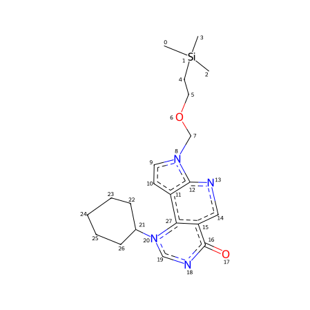 C[Si](C)(C)CCOCn1ccc2c1ncc1c(=O)ncn(C3CCCCC3)c12